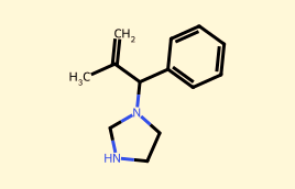 C=C(C)C(c1ccccc1)N1CCNC1